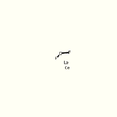 FOF.[Ce].[La]